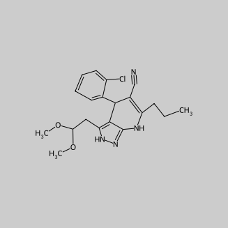 CCCC1=C(C#N)C(c2ccccc2Cl)c2c(n[nH]c2CC(OC)OC)N1